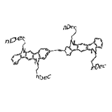 CCCCCCCCCCCCn1c2ccccc2c2cc3c(cc21)c1ccc(C#Cc2ccc4c5cc6c(cc5n(CCCCCCCCCCCC)c4c2)c2ccccc2n6CCCCCCCCCCCC)cc1n3CCCCCCCCCCCC